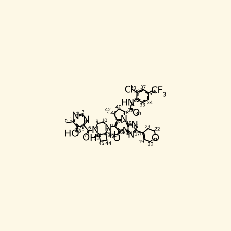 Cc1ncnc(C(=O)N2CCN(c3c4n(c5nc(C6=CCOCC6)nn5c3=O)[C@@H](C(=O)Nc3ccc(C(F)(F)F)cc3Cl)C[C@H]4C)[C@H]3CC[C@@H]32)c1O